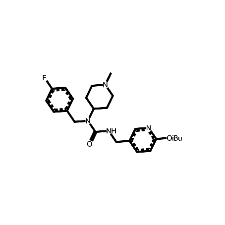 CC(C)COc1ccc(CNC(=O)N(Cc2ccc(F)cc2)C2CCN(C)CC2)cn1